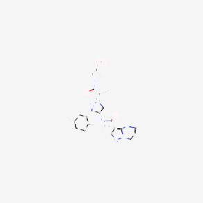 COc1ccc(C)cc1-c1nn(C(C)C(=O)N2CC(O)C2)cc1NC(=O)c1cnn2cccnc12